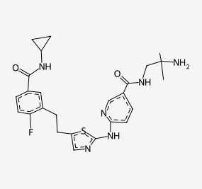 CC(C)(N)CNC(=O)c1ccc(Nc2ncc(CCc3cc(C(=O)NC4CC4)ccc3F)s2)nc1